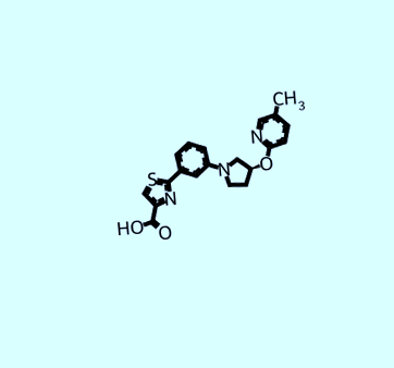 Cc1ccc(O[C@H]2CCN(c3cccc(-c4nc(C(=O)O)cs4)c3)C2)nc1